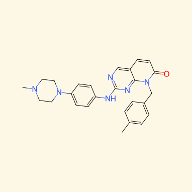 Cc1ccc(Cn2c(=O)ccc3cnc(Nc4ccc(N5CCN(C)CC5)cc4)nc32)cc1